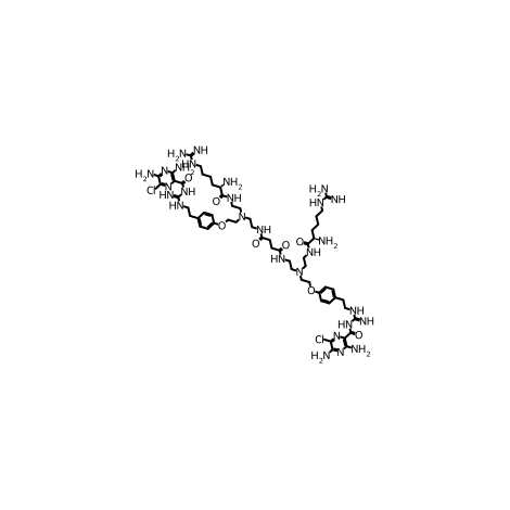 N=C(N)NCCCC[C@@H](N)C(=O)NCCN(CCNC(=O)CCC(=O)NCCN(CCNC(=O)[C@H](N)CCCCNC(=N)N)CCOc1ccc(CCNC(=N)NC(=O)c2nc(Cl)c(N)nc2N)cc1)CCOc1ccc(CCNC(=N)NC(=O)c2nc(Cl)c(N)nc2N)cc1